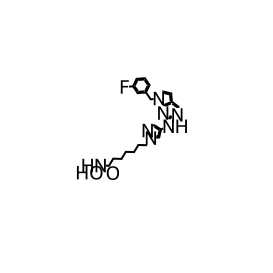 O=C(CCCCCCn1cc(Nc2ncc3ccn(Cc4cccc(F)c4)c3n2)cn1)NO